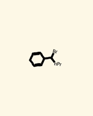 CCCC(Br)C1C=CCC=C1